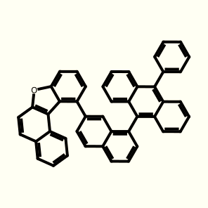 c1ccc(-c2c3ccccc3c(-c3cccc4ccc(-c5cccc6oc7ccc8ccccc8c7c56)cc34)c3ccccc23)cc1